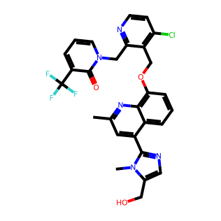 Cc1cc(-c2ncc(CO)n2C)c2cccc(OCc3c(Cl)ccnc3Cn3cccc(C(F)(F)F)c3=O)c2n1